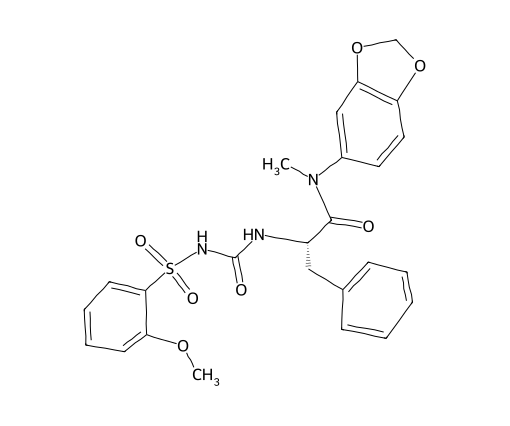 COc1ccccc1S(=O)(=O)NC(=O)N[C@@H](Cc1ccccc1)C(=O)N(C)c1ccc2c(c1)OCO2